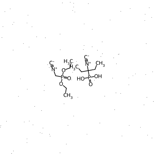 [C-]#[N+]C(CC)(CC)P(=O)(O)O.[C-]#[N+]CP(=O)(OCC)OCC